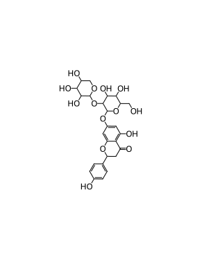 O=C1CC(c2ccc(O)cc2)Oc2cc(OC3OC(CO)C(O)C(O)C3OC3OCC(O)C(O)C3O)cc(O)c21